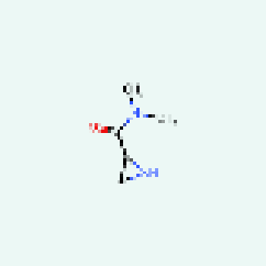 CN(C)C(=O)C1CN1